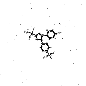 CS(=O)(=O)c1ccc(-n2nc(C(F)(F)C(F)(F)F)cc2-c2ccc(I)cc2)cc1